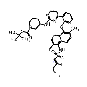 CC/C(F)=C/S(=O)(=O)Nc1c(F)ccc2c(Oc3ncccc3-c3ccnc(NC4CCCN(C(=O)OC(C)(C)C)C4)n3)c(C)ccc12